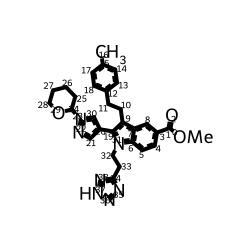 COC(=O)c1ccc2c(c1)c(CCc1ccc(C)cc1)c(-c1cnn(C3CCCCO3)c1)n2CCc1nn[nH]n1